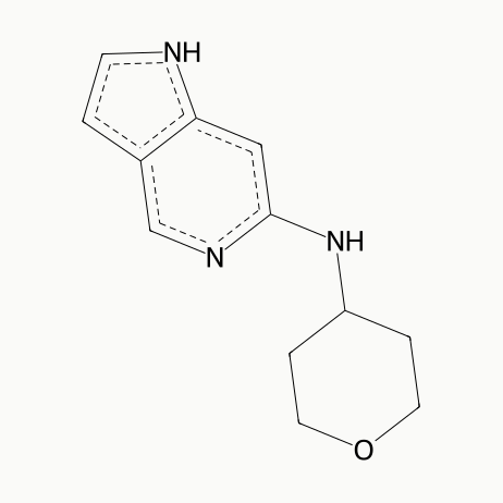 c1cc2cnc(NC3CCOCC3)cc2[nH]1